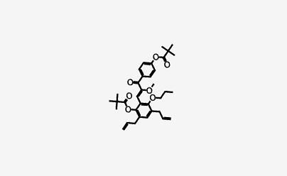 C=CCc1cc(CC=C)c(OC(=O)C(C)(C)C)c(C=C(OC)C(=O)c2ccc(OC(=O)C(C)(C)C)cc2)c1OCCC